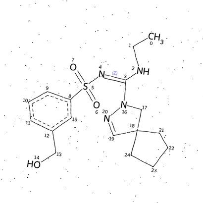 CCN/C(=N/S(=O)(=O)c1cccc(CO)c1)N1CC2(C=N1)CCCC2